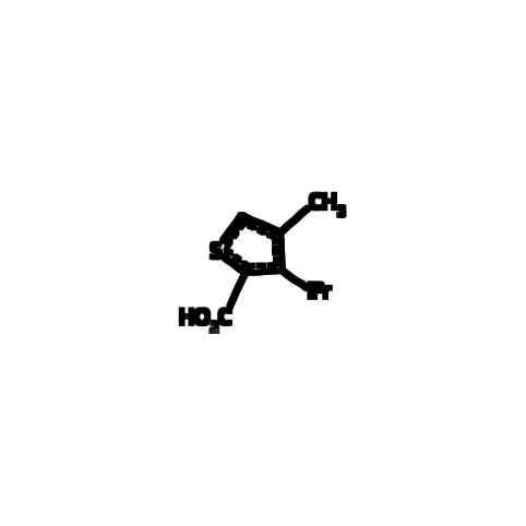 Cc1csc(C(=O)O)c1C(C)C